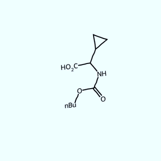 CCCCOC(=O)NC(C(=O)O)C1CC1